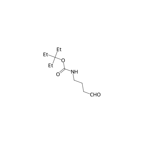 CCC(CC)(CC)OC(=O)NCCCC=O